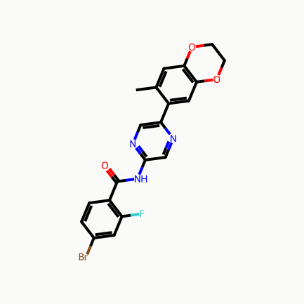 Cc1cc2c(cc1-c1cnc(NC(=O)c3ccc(Br)cc3F)cn1)OCCO2